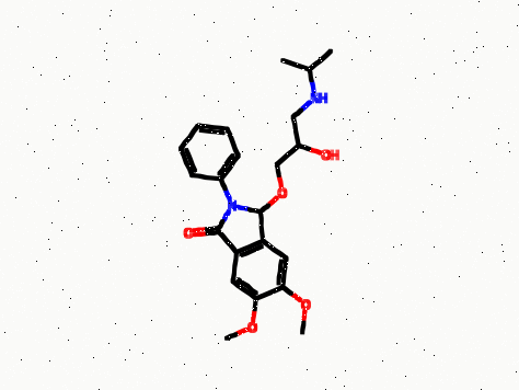 COc1cc2c(cc1OC)C(OCC(O)CNC(C)C)N(c1ccccc1)C2=O